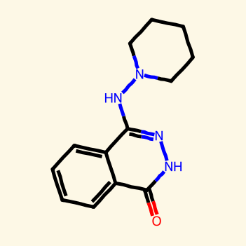 O=c1[nH]nc(NN2CCCCC2)c2ccccc12